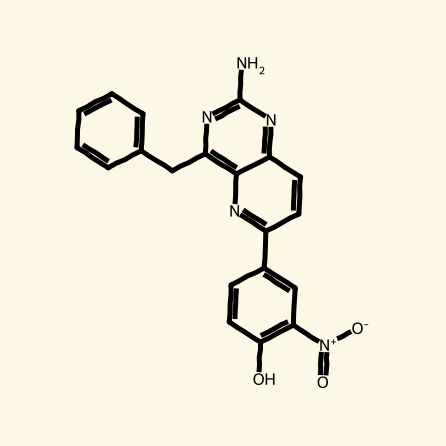 Nc1nc(Cc2ccccc2)c2nc(-c3ccc(O)c([N+](=O)[O-])c3)ccc2n1